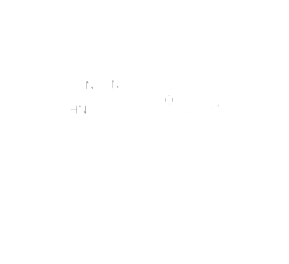 O=C1OC(c2c[nH]nn2)c2ccccc21